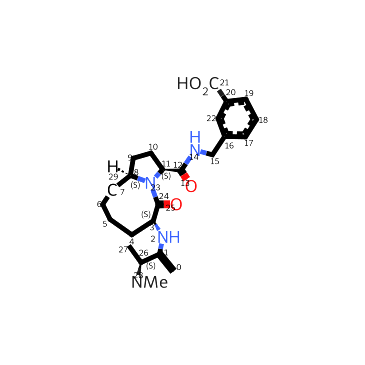 C=C(N[C@H]1CCCC[C@H]2CC[C@@H](C(=O)NCc3cccc(C(=O)O)c3)N2C1=O)[C@H](C)NC